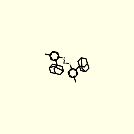 Cc1ccc(ONOc2ccc(C)cc2C23CC4CC(CC(C4)C2)C3)c(C23CC4CC(CC(C4)C2)C3)c1